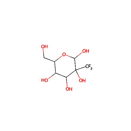 OCC1OC(O)C(O)(C(F)(F)F)C(O)C1O